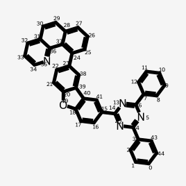 c1ccc(-c2nc(-c3ccccc3)nc(-c3ccc4oc5ccc(-c6cccc7ccc8cccnc8c67)cc5c4c3)n2)cc1